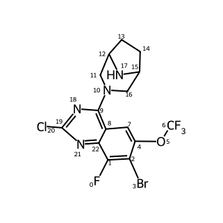 Fc1c(Br)c(OC(F)(F)F)cc2c(N3CC4CCC(C3)N4)nc(Cl)nc12